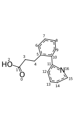 O=C(O)CCc1ccccc1-c1ccccn1